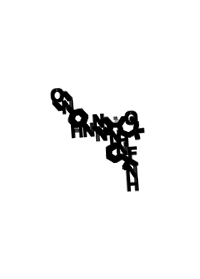 CC1(C)COC[C@]2(C)c3cnc(Nc4ccc(N5CCOCC5)cc4)nc3N(c3cccc(C4(F)CNC4)n3)[C@@H]2C1